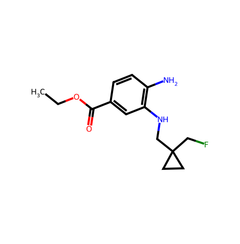 CCOC(=O)c1ccc(N)c(NCC2(CF)CC2)c1